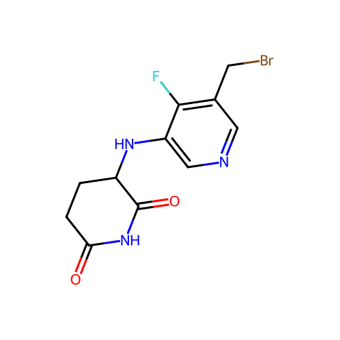 O=C1CCC(Nc2cncc(CBr)c2F)C(=O)N1